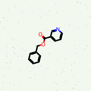 O=C(O[CH]c1ccccc1)c1cccnc1